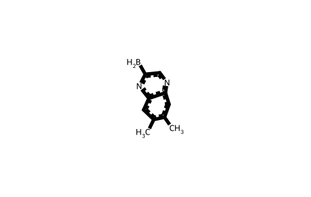 Bc1cnc2cc(C)c(C)cc2n1